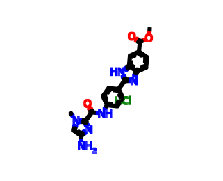 COC(=O)c1ccc2nc(-c3ccc(NC(=O)c4nc(N)cn4C)cc3)[nH]c2c1.Cl